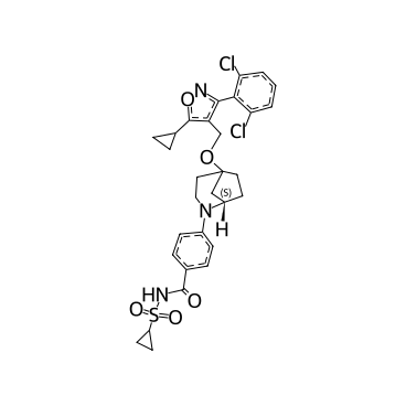 O=C(NS(=O)(=O)C1CC1)c1ccc(N2CCC3(OCc4c(-c5c(Cl)cccc5Cl)noc4C4CC4)CC[C@H]2C3)cc1